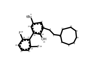 CC(C)(C)c1cc(CCC2CCCCCCC2)c(O)c(-c2c(F)cccc2F)c1